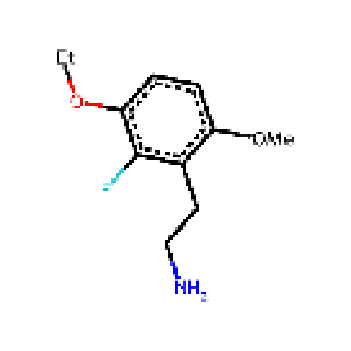 CCOc1ccc(OC)c(CCN)c1F